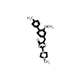 COc1cc(CC2SC(N3CCN(C)CC3)=NC2=O)ccc1-c1ccc(C)cc1